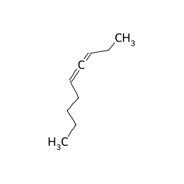 CCC=C=CCCCC